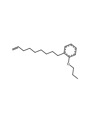 C=CCCCCCCCc1ccccc1OCCC